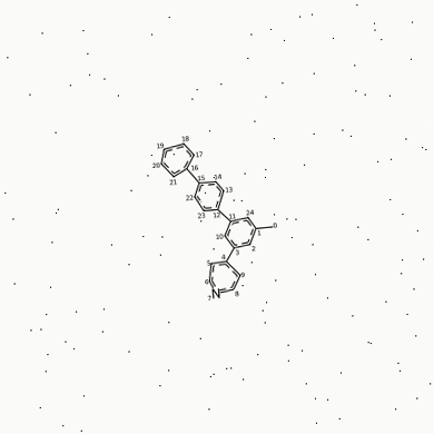 Cc1cc(-c2ccncc2)cc(-c2ccc(-c3ccccc3)cc2)c1